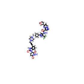 Cn1c(=O)n(C2CCC(=O)NC2=O)c2cccc(C#CCN3CCN(C[C@H]4CC[C@H](n5cc(NC(=O)c6cnn7ccc([C@H]8CCOC8)nc67)c(C(F)F)n5)CC4)CC3)c21